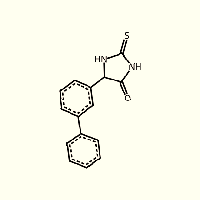 O=C1NC(=S)NC1c1cccc(-c2ccccc2)c1